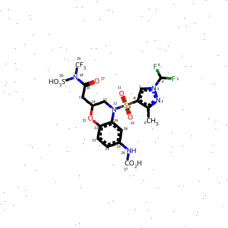 Cc1nn(C(F)F)cc1S(=O)(=O)N1CC(CC(=O)N(C(F)(F)F)S(=O)(=O)O)Oc2ccc(NC(=O)O)cc21